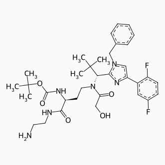 CC(C)(C)OC(=O)N[C@@H](CCN(C(=O)CO)[C@@H](c1nc(-c2cc(F)ccc2F)cn1Cc1ccccc1)C(C)(C)C)C(=O)NCCN